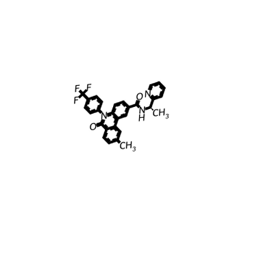 Cc1ccc2c(=O)n(-c3ccc(C(F)(F)F)cc3)c3ccc(C(=O)N[C@@H](C)c4ccccn4)cc3c2c1